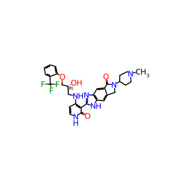 CN1CCC(N2Cc3cc4[nH]c(-c5c(NC[C@@H](O)COc6ccccc6C(F)(F)F)cc[nH]c5=O)nc4cc3C2=O)CC1